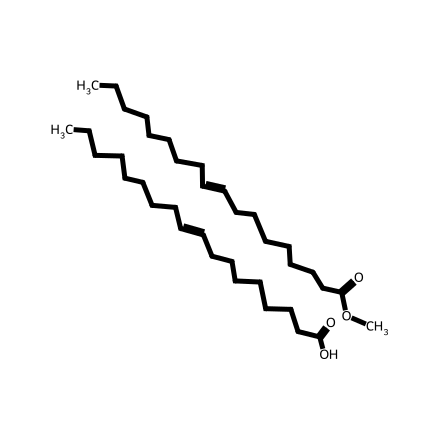 CCCCCCCCC=CCCCCCCCC(=O)O.CCCCCCCCC=CCCCCCCCC(=O)OC